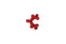 c1ccc(N(c2ccccc2)c2ccc3c(c2)c2ccccc2n3-c2ccc(-c3cc(-c4ccncc4)cc(-c4ccc(-n5c6ccccc6c6cc(N(c7ccccc7)c7ccccc7)ccc65)cc4)c3)cc2)cc1